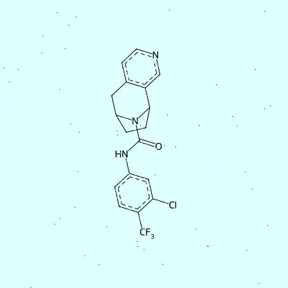 O=C(Nc1ccc(C(F)(F)F)c(Cl)c1)N1C2CCC1c1cnccc1C2